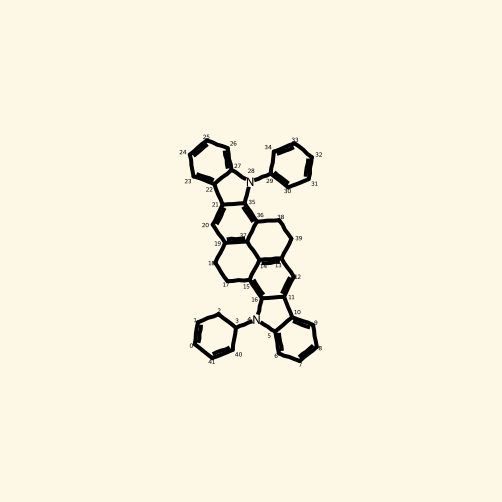 C1=CCC(n2c3ccccc3c3cc4c5c(c32)CCc2cc3c6ccccc6n(-c6ccccc6)c3c(c2-5)CC4)C=C1